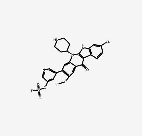 CCOc1cc2c(=O)c3c4ccc(C#N)cc4[nH]c3n(C3CCNCC3)c2cc1-c1cncc(OS(=O)(=O)F)c1